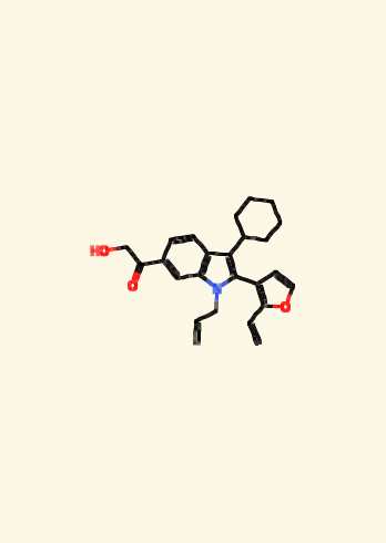 C=CCn1c(-c2ccoc2C=C)c(C2CCCCC2)c2ccc(C(=O)CO)cc21